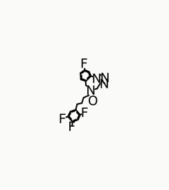 O=C(CCCc1cc(F)c(F)cc1F)N1Cc2ccc(F)cc2-n2cnnc2C1